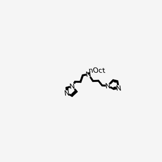 CCCCCCCCN(CCCn1ccnc1)CCCn1ccnc1